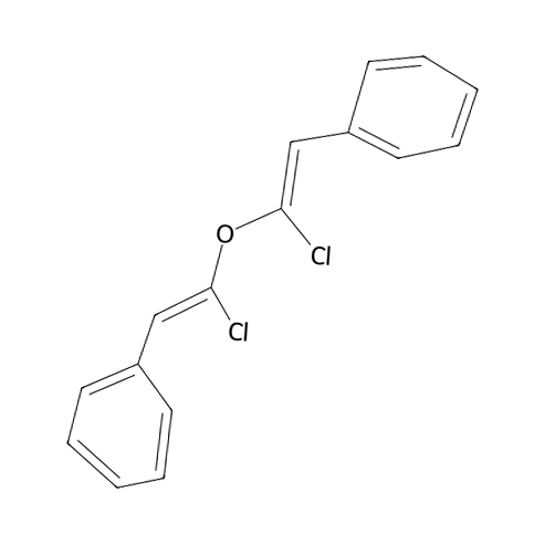 Cl/C(=C\c1ccccc1)O/C(Cl)=C/c1ccccc1